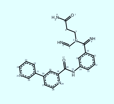 N=CN(CCC(N)=O)C(=N)c1cccc(NC(=O)c2cc(-c3cccnc3)ccn2)c1